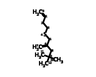 C=CCCSCC(=C)CC(C)(C)C